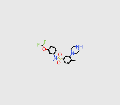 Cc1ccc(S(=O)(=O)N(C)c2cccc(OC(F)F)c2)cc1N1CCNCC1